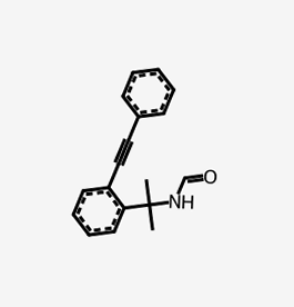 CC(C)(NC=O)c1ccccc1C#Cc1ccccc1